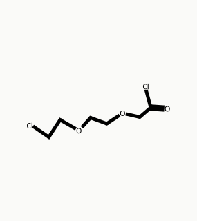 O=C(Cl)COCCOCCCl